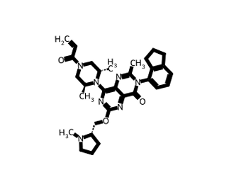 C=CC(=O)N1C[C@H](C)N(c2nc(OC[C@@H]3CCCN3C)nc3c(=O)n(-c4cccc5c4CCC5)c(C)nc23)[C@@H](C)C1